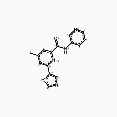 Cc1cc(C(=O)Nc2cccnc2)nc(-c2cncs2)c1